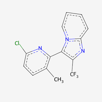 Cc1ccc(Cl)nc1-c1c(C(F)(F)F)nc2ccccn12